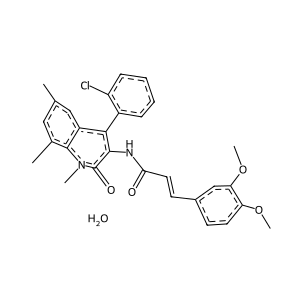 COc1ccc(/C=C/C(=O)Nc2c(-c3ccccc3Cl)c3cc(C)cc(C)c3n(C)c2=O)cc1OC.O